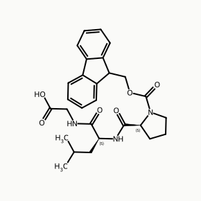 CC(C)C[C@H](NC(=O)[C@@H]1CCCN1C(=O)OCC1c2ccccc2-c2ccccc21)C(=O)NCC(=O)O